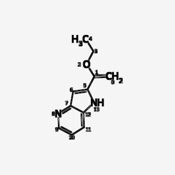 C=C(OCC)c1cc2ncccc2[nH]1